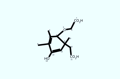 CC1=C(C)C(OCC(=O)O)C(C)(CC(=O)O)C=C1O